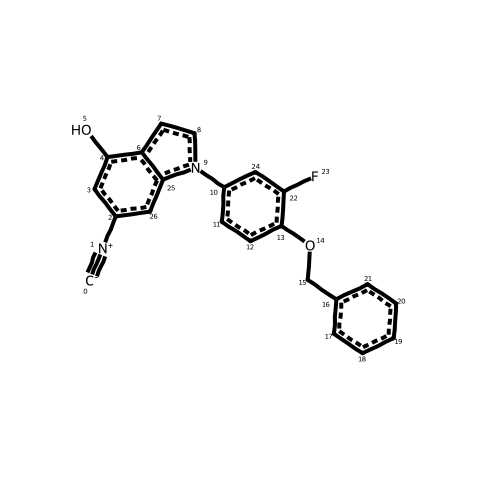 [C-]#[N+]c1cc(O)c2ccn(-c3ccc(OCc4ccccc4)c(F)c3)c2c1